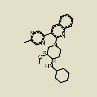 CO[C@H]1CN(c2nc3ccccc3cc2-c2cnc(C)cn2)CC[C@H]1NC1CCCCC1